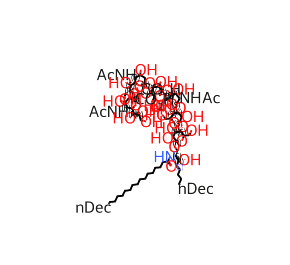 CCCCCCCCCCCCC/C=C/[C@@H](O)[C@H](CO[C@@H]1OC(CO)[C@@H](O[C@@H]2OC(CO)[C@H](O)[C@H](O[C@@H]3OC(CO)[C@@H](O[C@@H]4OC(CO)[C@H](O)[C@H](O[C@]5(C(=O)O)CC(O)[C@@H](NC(C)=O)C([C@H](O)[C@@H](CO)O[C@]6(C(=O)O)CC(O)[C@@H](NC(C)=O)C([C@H](O)[C@H](O)CO)O6)O5)C4O)[C@H](O)C3NC(C)=O)C2O)[C@H](O)C1O)NC(=O)CCCCCCCCCCCCCCCCCCCCCCCCC